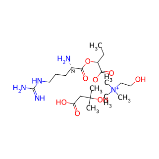 CC(C)(O)CC(=O)O.CCC(OC(=O)[C@@H](N)CCCNC(=N)N)C(=O)[O-].C[N+](C)(C)CCO